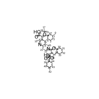 Cc1ccc(-c2c3c(nc(C)c2C(OC(C)(C)C)C(=O)O)CCN(C(=O)C(Cc2ccccc2)NS(=O)(=O)c2ccc(C)cc2)C3)cc1